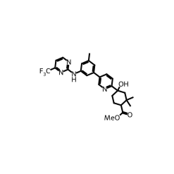 COC(=O)C1CCC(O)(c2ccc(-c3cc(C)cc(Nc4nccc(C(F)(F)F)n4)c3)cn2)CC1(C)C